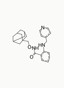 O=C(NOCC12CC3CC(CC(C3)C1)C2)c1ccccc1NCc1ccncc1